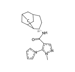 Cn1ncc(C(=O)N[C@H]2CCC3CC4CC(C3)C2C4)c1-n1cccc1